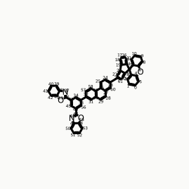 c1ccc2c(c1)Oc1ccccc1C21c2ccccc2-c2cc(-c3ccc4c(ccc5cc(-c6cc(-c7nc8ccccc8o7)cc(-c7nc8ccccc8o7)c6)ccc54)c3)ccc21